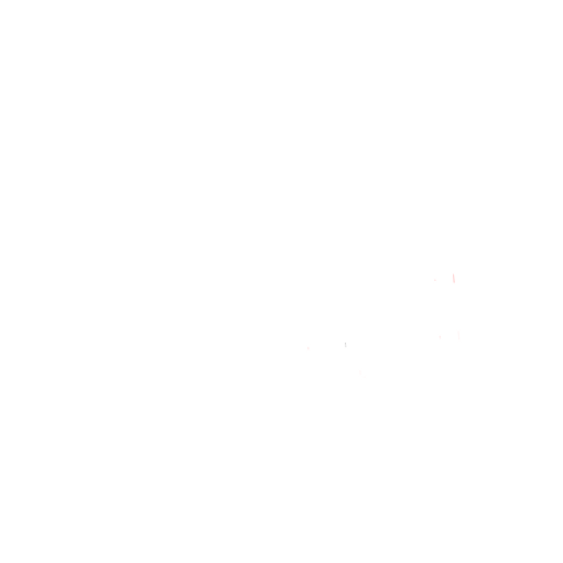 CCCCCCCCCCC(C(=O)O)C(CO)CO